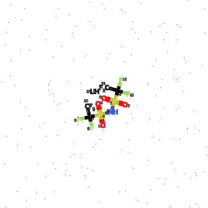 O=S(=O)(NS(=O)(=O)C(F)(F)C(F)(F)F)C(F)(F)C(F)(F)F.[LiH]